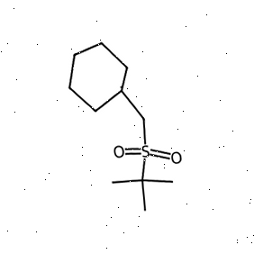 CC(C)(C)S(=O)(=O)C[C]1CCCCC1